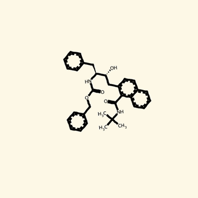 CC(C)(C)NC(=O)c1c(C[C@@H](O)[C@H](Cc2ccccc2)NC(=O)OCc2ccccc2)ccc2ccccc12